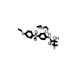 CCNCC.CCSc1ccc(S(=O)(=O)c2ccc(NC(=O)C(C)(O)C(F)(F)F)c(Cl)c2)cc1